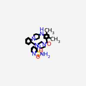 Cc1cc(C)c(C(=O)N2CCN(c3cccnc3S(N)(=O)=O)CC2)cc1NC1CCN(c2ccccc2C#N)CC1